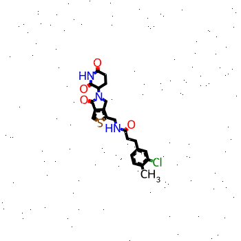 Cc1ccc(CCC(=O)NCc2scc3c2CN(C2CCC(=O)NC2=O)C3=O)cc1Cl